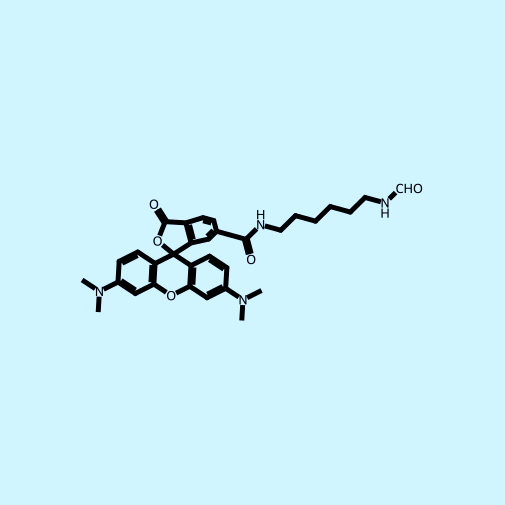 CN(C)c1ccc2c(c1)Oc1cc(N(C)C)ccc1C21OC(=O)c2ccc(C(=O)NCCCCCCNC=O)cc21